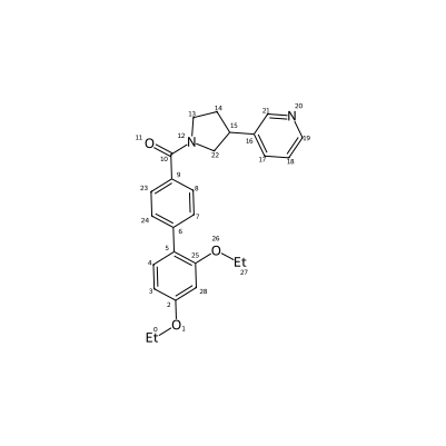 CCOc1ccc(-c2ccc(C(=O)N3CCC(c4cccnc4)C3)cc2)c(OCC)c1